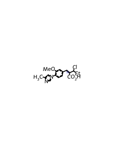 CCC(Cl)/C(=C/c1ccc(-n2cnc(C)c2)c(OC)c1)C(=O)O